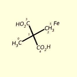 CC(C)(C(=O)O)C(=O)O.[Fe]